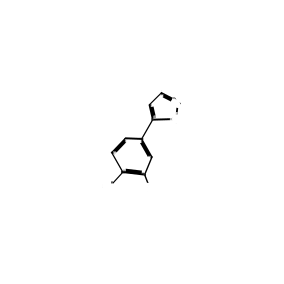 Clc1ccc(-c2c[c]no2)cc1Cl